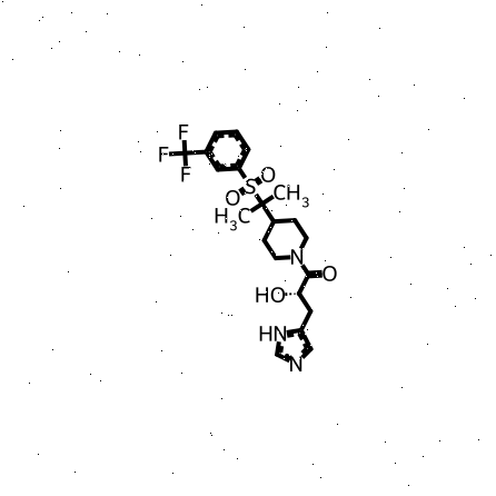 CC(C)(C1CCN(C(=O)[C@@H](O)Cc2cnc[nH]2)CC1)S(=O)(=O)c1cccc(C(F)(F)F)c1